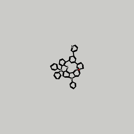 c1ccc(-n2c3ccccc3c3c4c(ccc32)[Si](c2ccccc2)(c2ccccc2)c2cccc(-c3cc(-c5cccnc5)cc(-c5cccnc5)c3)c2S4)cc1